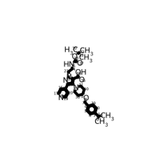 CC(C)c1ccc(COC2CCN(c3c(-c4ccncc4)nn(CCNC(=O)OC(C)(C)C)c3C(=O)O)CC2)cc1